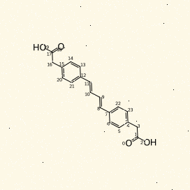 O=C(O)Cc1ccc(/C=C/C=C/c2ccc(CC(=O)O)cc2)cc1